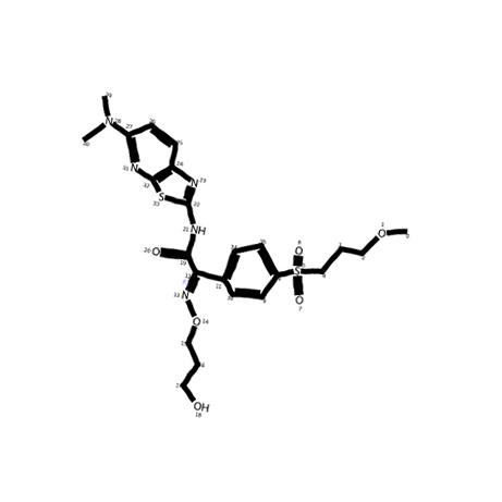 COCCCS(=O)(=O)c1ccc(/C(=N\OCCCO)C(=O)Nc2nc3ccc(N(C)C)nc3s2)cc1